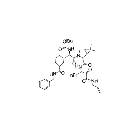 C=CCNC(=O)C(=O)C(CCC)NC(=O)C1C2C(CN1C(=O)[C@H](NC(=O)OCC(C)C)C1CCCC(C(=O)NCc3ccccc3)C1)C2(C)C